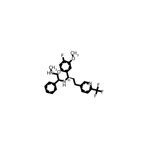 CNC(=O)C(N[C@H](CCc1ccc(C(F)(F)F)nc1)c1ccc(F)c(OC)c1)c1ccccc1